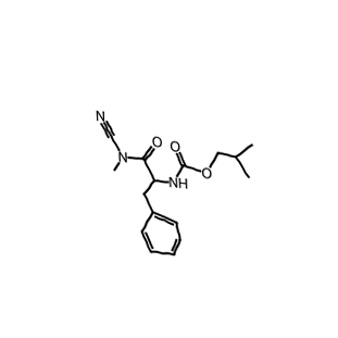 CC(C)COC(=O)NC(Cc1ccccc1)C(=O)N(C)C#N